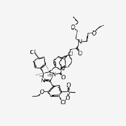 CCOCCN(CCOCC)C(=O)CC1CCN(C(=O)N2C(c3cc(S(C)(=O)=O)c(Cl)cc3OCC)=N[C@@](C)(c3ccc(Cl)cc3)[C@@]2(C)c2ccc(Cl)cc2)CC1